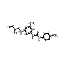 Cc1ccc(NC(=O)Nc2nc(C)cc(NCC(O)CO)n2)cc1